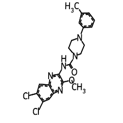 COc1nc2cc(Cl)c(Cl)cc2nc1NC(=O)N1CCN(c2cccc(C)c2)CC1